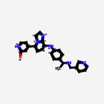 CC(NCc1cccnc1)c1ccc(Nc2ccc(-c3cc[nH]c(=O)c3)n3ccnc23)cc1